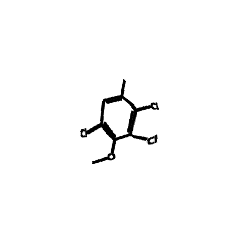 COc1c(Cl)cc(C)c(Cl)c1Cl